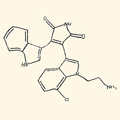 NCCn1cc(C2=C(c3c[nH]c4ccccc34)C(=O)NC2=O)c2cccc(Cl)c21